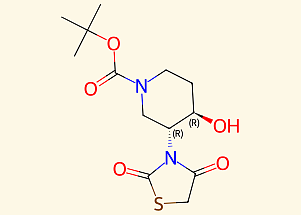 CC(C)(C)OC(=O)N1CC[C@@H](O)[C@H](N2C(=O)CSC2=O)C1